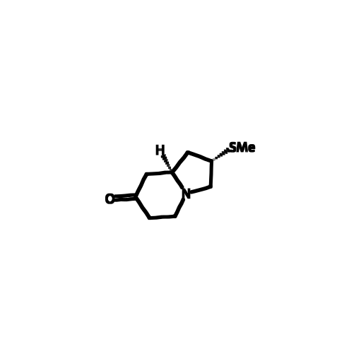 CS[C@H]1C[C@@H]2CC(=O)CCN2C1